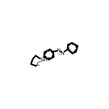 c1ccc(/N=N/c2ccc([SiH]3CCCCC3)cc2)cc1